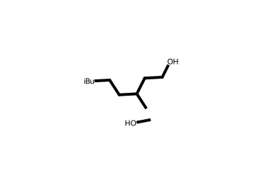 CCC(C)CCC(C)CCO.CO